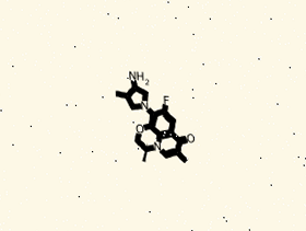 Cc1cn2c3c(c(N4CC(C)C(N)C4)c(F)cc3c1=O)OC[C@@H]2C